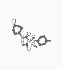 CN=S(=O)(c1ccc(C)cc1)N(C(C)=O)C(=O)Nc1ccc(Cl)cc1